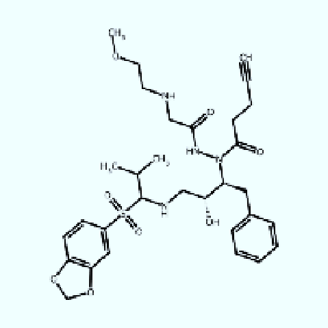 C#CCCC(=O)N(NC(=O)CNCCOC)[C@@H](Cc1ccccc1)[C@H](O)CNC(C(C)C)S(=O)(=O)c1ccc2c(c1)OCO2